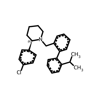 CC(C)c1ccccc1-c1ccccc1CN1CCCC[C@@H]1c1ccc(Cl)cc1